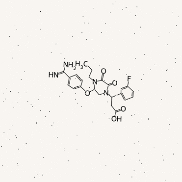 CCCN1C(=O)C(=O)N(C(CC(=O)O)c2cccc(F)c2)CC1Oc1ccc(C(=N)N)cc1